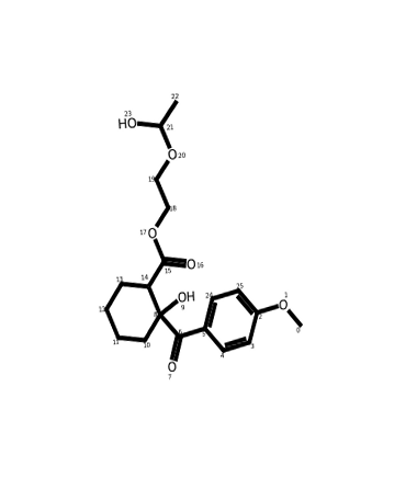 COc1ccc(C(=O)C2(O)CCCCC2C(=O)OCCOC(C)O)cc1